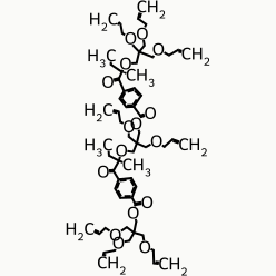 C=CCOCC(COCC=C)(COCC=C)COC(=O)c1ccc(C(=O)C(C)(CC)OCC(COCC=C)(COCC=C)COC(=O)c2ccc(C(=O)[C@](C)(CC)OCC(COCC=C)(COCC=C)COCC=C)cc2)cc1